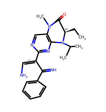 CC[C@@H]1C(=O)N(C)c2cnc(/C(=C/N)C(=N)c3ccccc3)nc2N1C(C)C